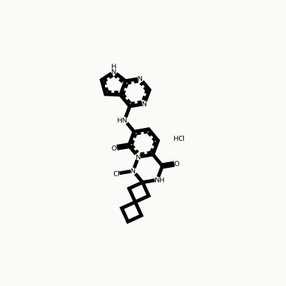 Cl.O=C1NC2(CC3(CCC3)C2)N(Cl)n2c1ccc(Nc1ncnc3[nH]ccc13)c2=O